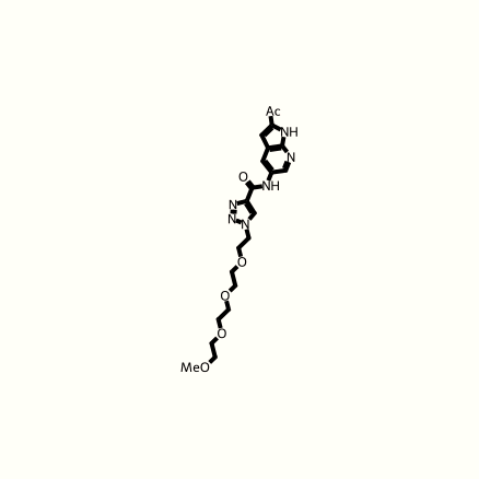 COCCOCCOCCOCCn1cc(C(=O)Nc2cnc3[nH]c(C(C)=O)cc3c2)nn1